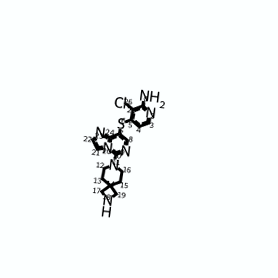 Nc1nccc(Sc2cnc(N3CCC4(CC3)CNC4)n3ccnc23)c1Cl